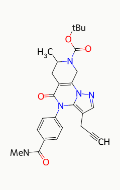 C#CCc1cnn2c3c(c(=O)n(-c4ccc(C(=O)NC)cc4)c12)CC(C)N(C(=O)OC(C)(C)C)C3